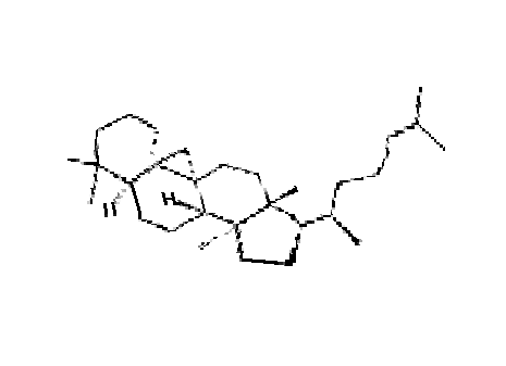 CC(C)CCC[C@@H](C)[C@H]1CC[C@@]2(C)[C@@H]3CC[C@H]4C(C)(C)CCC[C@@]45C[C@]35CC[C@]12C